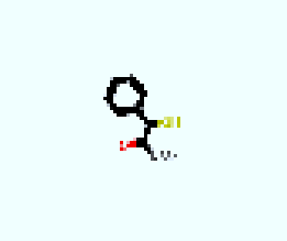 [CH2]NC(=O)C(S)c1ccccc1